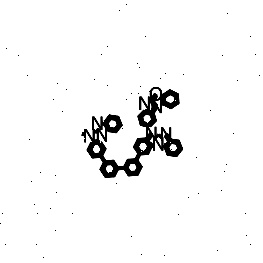 Cn1c2ccc(-c3cccc(-c4cccc(-c5ccc6c(c5)n5c7ccccc7nc5n6-c5ccc6nc7oc8ccccc8n7c6c5)c4)c3)cc2n2c3ccccc3nc12